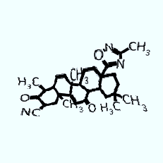 Cc1noc(C23CCC4C(C(=O)C=C5C6(C)CC(C#N)C(=O)C(C)C6CCC54C)C2CC(C)(C)CC3)n1